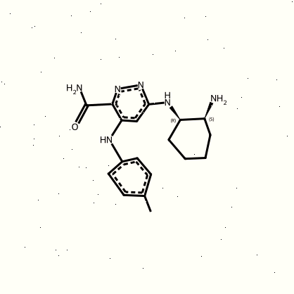 Cc1ccc(Nc2cc(N[C@@H]3CCCC[C@@H]3N)nnc2C(N)=O)cc1